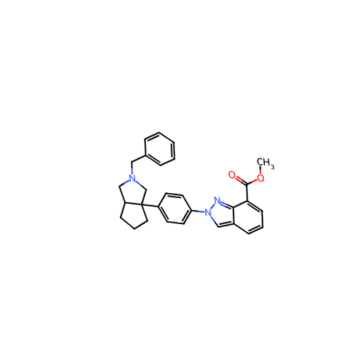 COC(=O)c1cccc2cn(-c3ccc(C45CCCC4CN(Cc4ccccc4)C5)cc3)nc12